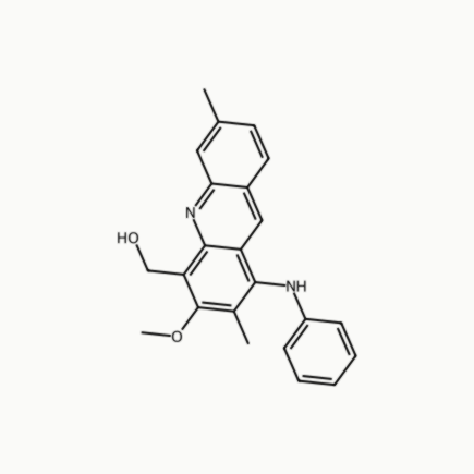 COc1c(C)c(Nc2ccccc2)c2cc3ccc(C)cc3nc2c1CO